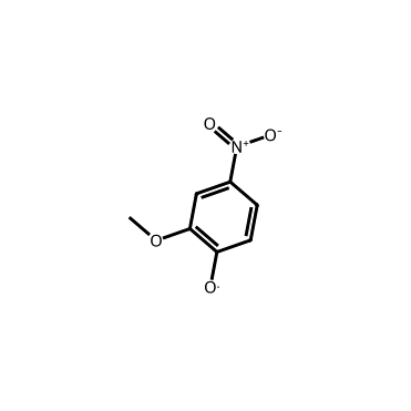 COc1cc([N+](=O)[O-])ccc1[O]